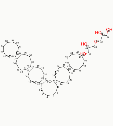 C1CCCCCCCCC1.C1CCCCCCCCC1.C1CCCCCCCCC1.C1CCCCCCCCC1.C1CCCCCCCCC1.C1CCCCCCCCC1.OCC(O)COCC(O)CO